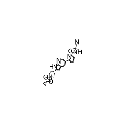 CC(C)(C#N)NC(=O)c1cccc(-c2cnc3[nH]c(C4=CCN(S(=O)(=O)C5CC5)CC4)cc3c2)n1